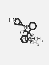 C[Si](C)(C)OC(C(=O)NC1C2CNCC21)(c1ccccc1)C1CCCCC1